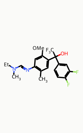 CCN(C)/C=N/c1cc(OC)c(C(O)(c2ccc(F)c(F)c2)C(F)(F)F)cc1C